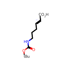 CC(C)(C)OC(=O)NCCC/C=C/C(=O)O